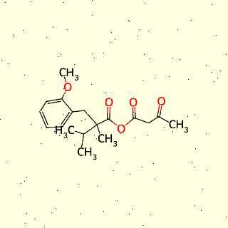 COc1ccccc1CC(C)(C(=O)OC(=O)CC(C)=O)C(C)C